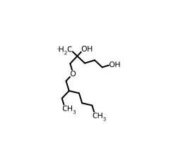 [CH2]C(O)(CCCO)COCC(CC)CCCC